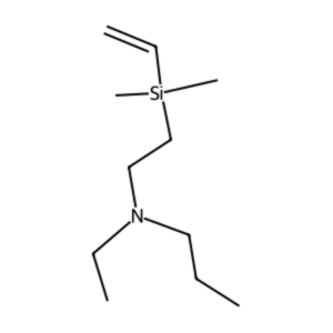 C=C[Si](C)(C)CCN(CC)CCC